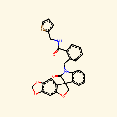 O=C(NCc1cccs1)c1ccccc1CN1C(=O)C2(COc3cc4c(cc32)OCO4)c2ccccc21